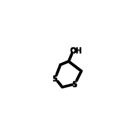 OC1CSCSC1